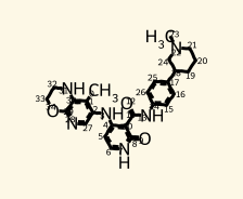 Cc1c(Nc2cc[nH]c(=O)c2C(=O)Nc2ccc(C3CCCN(C)C3)cc2)cnc2c1NCCO2